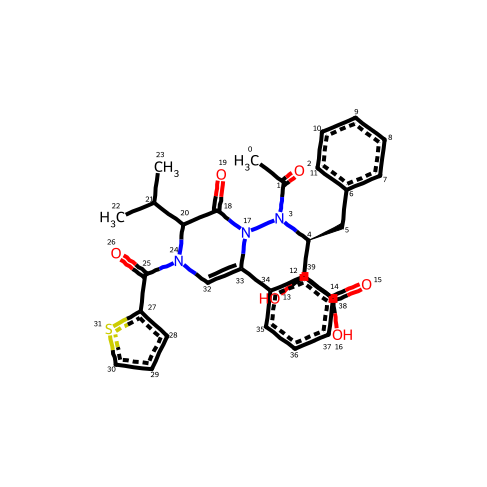 CC(=O)N([C@@H](Cc1ccccc1)C(O)C(=O)O)N1C(=O)C(C(C)C)N(C(=O)c2cccs2)C=C1c1ccccc1